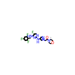 C[C@@H]1COCCN1C(=O)Cn1cc(Nc2ncc(F)c(NCc3c(F)cc(F)cc3F)n2)cn1